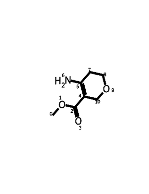 COC(=O)C1=C(N)CCOC1